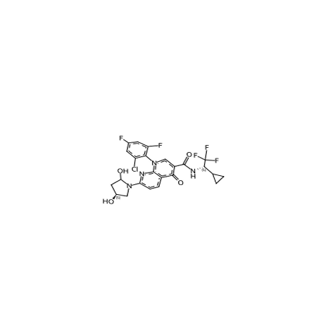 O=C(N[C@@H](C1CC1)C(F)(F)F)c1cn(-c2c(F)cc(F)cc2Cl)c2nc(N3C[C@@H](O)CC3O)ccc2c1=O